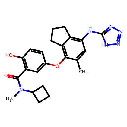 Cc1cc(Nc2nnn[nH]2)c2c(c1Oc1ccc(O)c(C(=O)N(C)C3CCC3)c1)CCC2